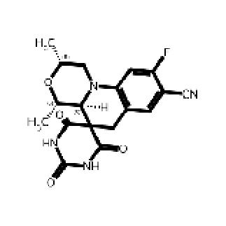 C[C@@H]1CN2c3cc(F)c(C#N)cc3CC3(C(=O)NC(=O)NC3=O)[C@H]2[C@H](C)O1